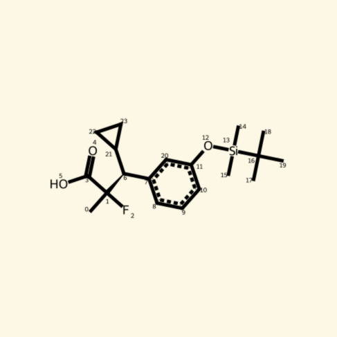 CC(F)(C(=O)O)[C@H](c1cccc(O[Si](C)(C)C(C)(C)C)c1)C1CC1